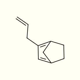 C=CCC1=C2CCC(=C1)C2